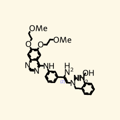 COCCOc1cc2ncnc(Nc3cccc(/C(N)=C/N(N)Cc4ccccc4NO)c3)c2cc1OCCOC